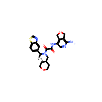 CC(c1ccc2scnc2c1)N(CC1CCOCC1)C(=O)C(=O)Nc1cnc(N)c2c1COC2